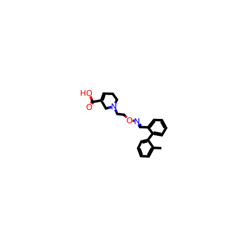 Cc1ccccc1-c1ccccc1C=NOCCN1CCC=C(C(=O)O)C1